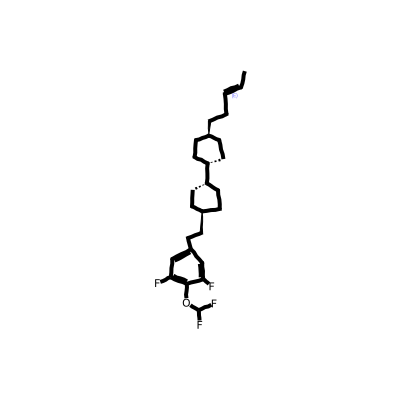 C/C=C/CC[C@H]1CC[C@H]([C@H]2CC[C@H](CCc3cc(F)c(OC(F)F)c(F)c3)CC2)CC1